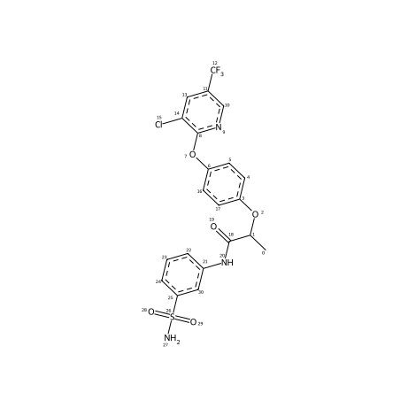 CC(Oc1ccc(Oc2ncc(C(F)(F)F)cc2Cl)cc1)C(=O)Nc1cccc(S(N)(=O)=O)c1